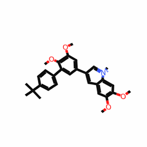 COc1cc2cc(-c3cc(OC)c(OC)c(-c4ccc(C(C)(C)C)cc4)c3)c[n+](C)c2cc1OC